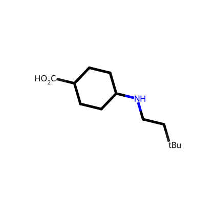 CC(C)(C)CCNC1CCC(C(=O)O)CC1